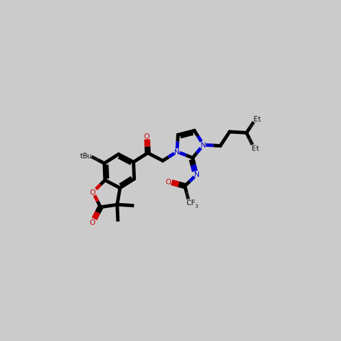 CCC(CC)CCn1ccn(CC(=O)c2cc(C(C)(C)C)c3c(c2)C(C)(C)C(=O)O3)/c1=N\C(=O)C(F)(F)F